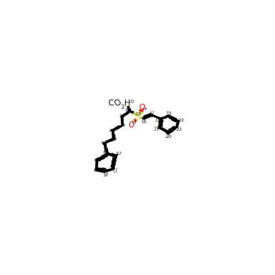 O=C(O)C(CCCCCc1ccccc1)S(=O)(=O)/C=C/c1ccccc1